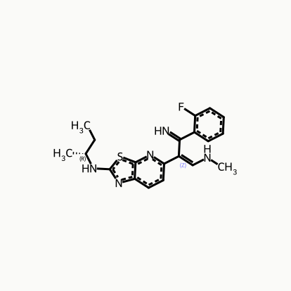 CC[C@@H](C)Nc1nc2ccc(/C(=C/NC)C(=N)c3ccccc3F)nc2s1